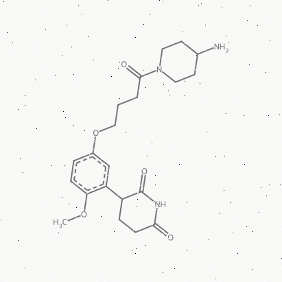 COc1ccc(OCCCC(=O)N2CCC(N)CC2)cc1C1CCC(=O)NC1=O